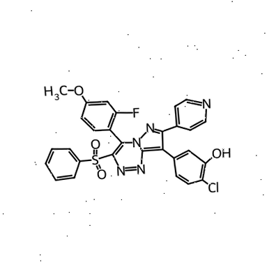 COc1ccc(-c2c(S(=O)(=O)c3ccccc3)nnc3c(-c4ccc(Cl)c(O)c4)c(-c4ccncc4)nn23)c(F)c1